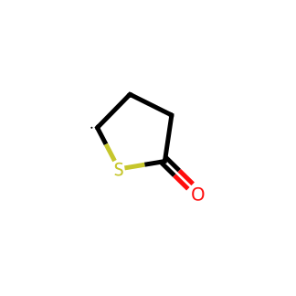 O=C1CC[CH]S1